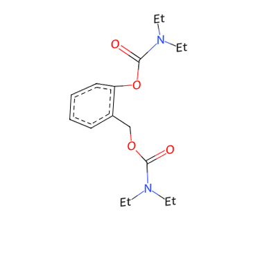 CCN(CC)C(=O)OCc1ccccc1OC(=O)N(CC)CC